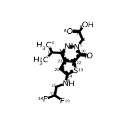 CC(C)c1nn(CC(=O)O)c(=O)c2sc(NCC(F)F)cc12